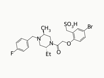 CC[C@@H]1CN(Cc2ccc(F)cc2)[C@@H](C)CN1C(=O)COc1ccc(Br)cc1CS(=O)(=O)O